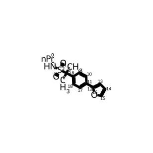 CCCNS(=O)(=O)C(C)(C)c1ccc(-c2ccco2)cc1